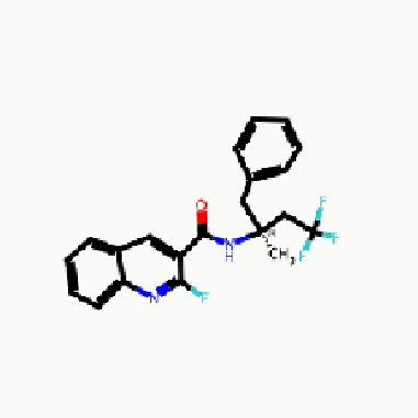 C[C@](Cc1ccccc1)(CC(F)(F)F)NC(=O)c1cc2ccccc2nc1F